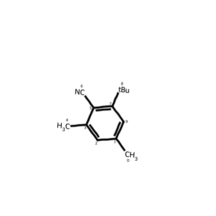 Cc1cc(C)c(C#N)c(C(C)(C)C)c1